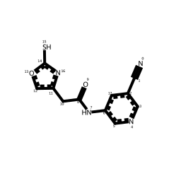 N#Cc1cncc(NC(=O)Cc2coc(S)n2)c1